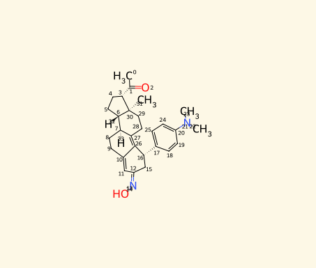 CC(=O)[C@H]1CC[C@H]2[C@@H]3CCC4=C/C(=N\O)C[C@@H](c5ccc(N(C)C)cc5)C4=C3CC[C@]12C